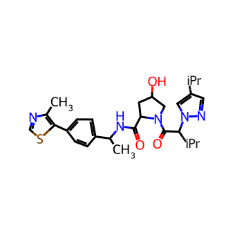 Cc1ncsc1-c1ccc(C(C)NC(=O)C2CC(O)CN2C(=O)C(C(C)C)n2cc(C(C)C)cn2)cc1